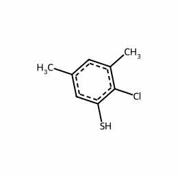 Cc1cc(C)c(Cl)c(S)c1